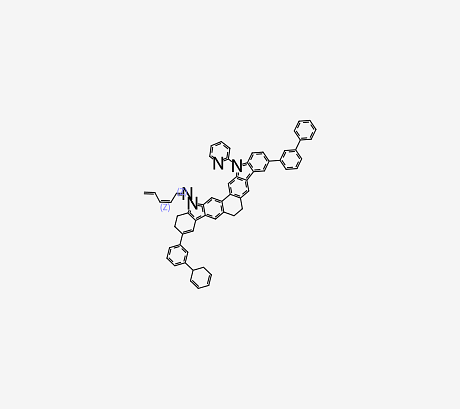 C=C/C=C\C=N/n1c2c(c3cc4c(cc31)-c1cc3c(cc1CC4)c1cc(-c4cccc(-c5ccccc5)c4)ccc1n3-c1ccccn1)C=C(c1cccc(C3C=CC=CC3)c1)CC2